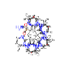 Cc1ccnc(C2(c3nccc(C)n3)CC(c3nccc(C)n3)(S(N)(=O)=O)C(c3nccc(C)n3)(c3nccc(C)n3)C(c3nccc(C)n3)(c3nccc(C)n3)C2(c2nccc(C)n2)c2nccc(C)n2)n1